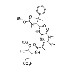 C/C(=C\[C@H](C(C)C)N(C)C(=O)[C@@H](NC(=O)[C@@H](N(C)C(=O)OC(C)(C)C)C(C)(C)c1ccccc1)C(C)(C)C)C(=O)N[C@H](CCC(=O)O)C(O)OC(C)(C)C